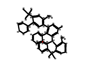 Bc1cccc2c1N(c1cc(C)cc(-c3cc(C4=CCCC=C4)c(C(C)(C)C)cc3N)c1-c1ccccc1)c1ccccc1C2(C)C